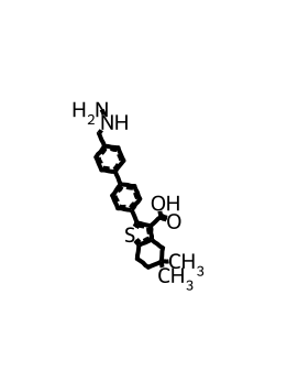 CC1(C)CCc2sc(-c3ccc(-c4ccc(CNN)cc4)cc3)c(C(=O)O)c2C1